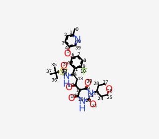 Cc1ccc(Oc2ccc(F)c([C@@H](CC(=O)C3C(=O)NC(=O)N(C4CCOCC4)C3=O)N[S@@+]([O-])C(C)(C)C)c2)cn1